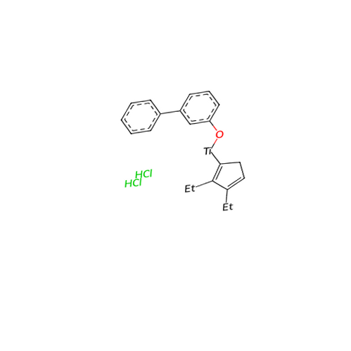 CCC1=CC[C]([Ti][O]c2cccc(-c3ccccc3)c2)=C1CC.Cl.Cl